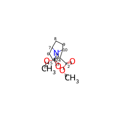 COC(=O)C1=CCC2CCC1N2C(=O)OC